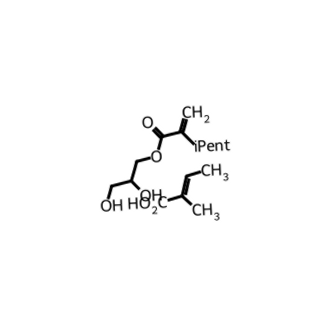 C=C(C(=O)OCC(O)CO)C(C)CCC.CC=C(C)C(=O)O